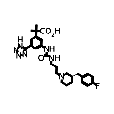 CC(C)(C(=O)O)c1cc(NC(=O)NCCCN2CCC[C@@H](Cc3ccc(F)cc3)C2)cc(-c2nnn[nH]2)c1